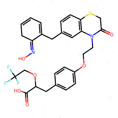 O=C(O)C(Cc1ccc(OCCN2C(=O)CSc3ccc(CC4=CC=CCC4=NO)cc32)cc1)OCC(F)(F)F